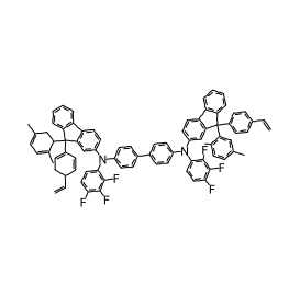 C=Cc1ccc(C2(c3cc(C)ccc3C)c3ccccc3-c3ccc(N(c4ccc(-c5ccc(N(c6ccc7c(c6)C(C6=CCC(C=C)C=C6)(C6CC(C)=CC=C6C)c6ccccc6-7)c6ccc(F)c(F)c6F)cc5)cc4)c4ccc(F)c(F)c4F)cc32)cc1